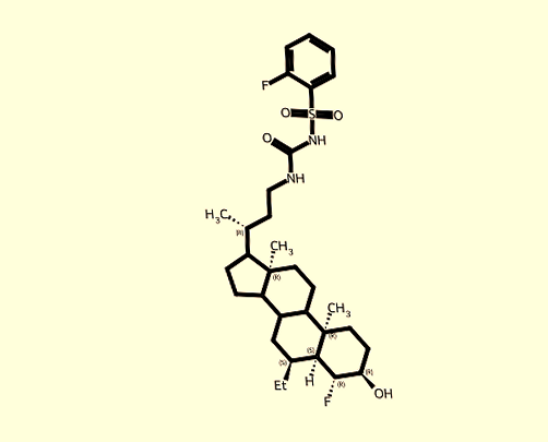 CC[C@H]1CC2C3CCC([C@H](C)CCNC(=O)NS(=O)(=O)c4ccccc4F)[C@@]3(C)CCC2[C@@]2(C)CC[C@@H](O)[C@H](F)[C@@H]12